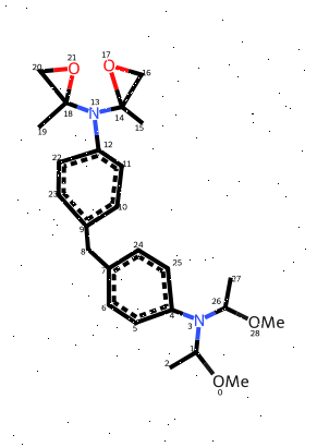 COC(C)N(c1ccc(Cc2ccc(N(C3(C)CO3)C3(C)CO3)cc2)cc1)C(C)OC